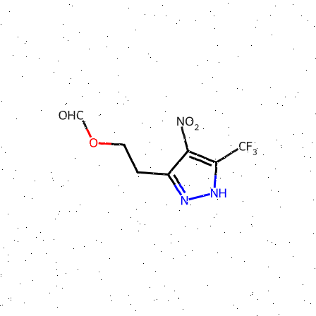 O=COCCc1n[nH]c(C(F)(F)F)c1[N+](=O)[O-]